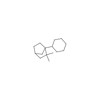 CC1(C)CC2CCC1(C1CCCCC1)C2